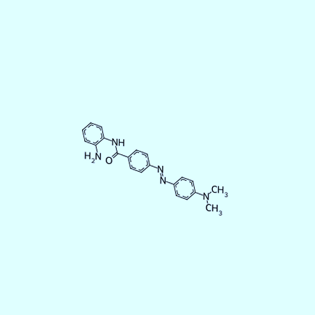 CN(C)c1ccc(/N=N/c2ccc(C(=O)Nc3ccccc3N)cc2)cc1